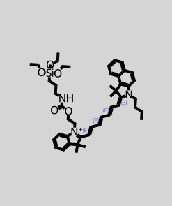 CCCCN1/C(=C/C=C/C=C/C=C/C2=[N+](CCOC(=O)NCCC[Si](OCC)(OCC)OCC)c3ccccc3C2(C)C)C(C)(C)c2c1ccc1ccccc21